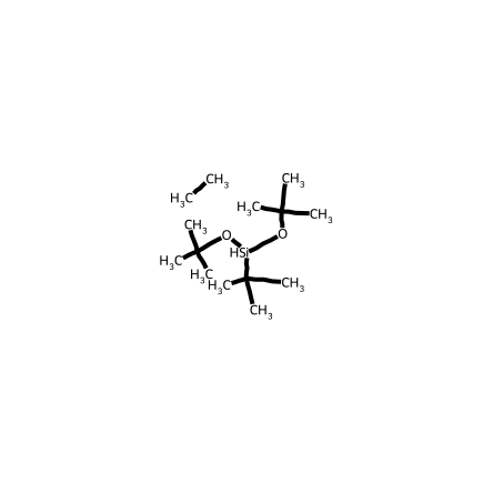 CC.CC(C)(C)O[SiH](OC(C)(C)C)C(C)(C)C